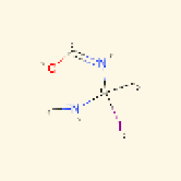 CC1(I)N=COC=N1